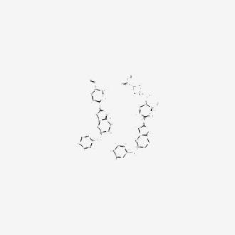 Cc1nc(-c2cc3cc(Cc4ccccc4)ccc3o2)ccc1C=O.Cc1nc(-c2cc3cc(Cc4ccccc4)ccc3o2)ccc1CN1CC(C(=O)O)C1